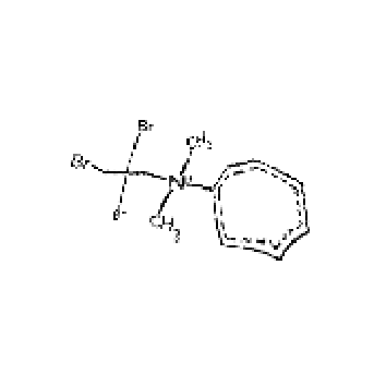 C[N+](C)(c1ccccc1)C(Br)(Br)Br